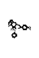 CCCCC(CC(=O)c1ccc(OC)cc1)c1cn(-c2ccccc2)nc1-c1cccs1